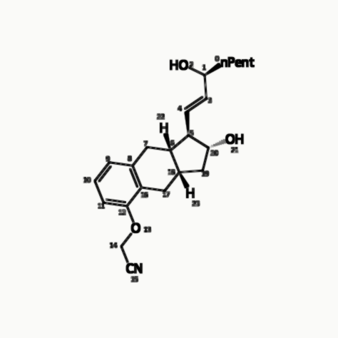 CCCCC[C@H](O)C=C[C@@H]1[C@H]2Cc3cccc(OCC#N)c3C[C@H]2C[C@H]1O